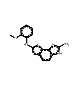 COc1ccccc1Nc1nc2c(ccc3[nH]c(N)nc32)s1